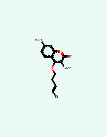 CCC=CCCOc1c(OC)c(=O)oc2cc(OC)ccc12